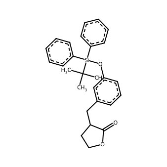 CC(C)(C)[Si](Oc1cccc(CC2CCOC2=O)c1)(c1ccccc1)c1ccccc1